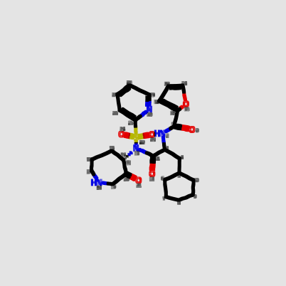 O=C(NC(CC1CCCCC1)C(=O)N([C@H]1CCCNCC1=O)S(=O)(=O)c1ccccn1)c1ccco1